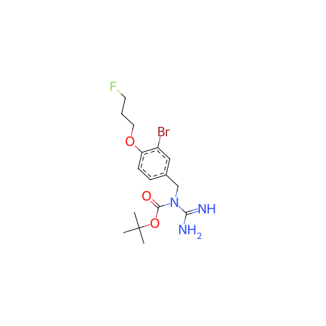 CC(C)(C)OC(=O)N(Cc1ccc(OCCCF)c(Br)c1)C(=N)N